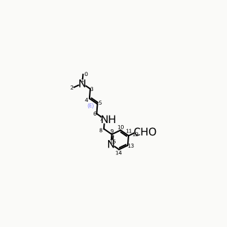 CN(C)C/C=C/CNCc1cc(C=O)ccn1